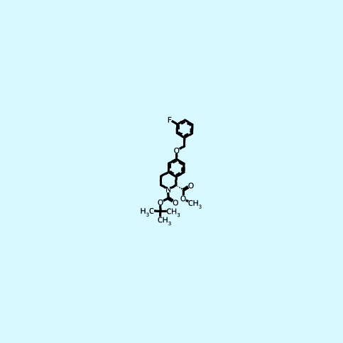 COC(=O)[C@H]1c2ccc(OCc3cccc(F)c3)cc2CCN1C(=O)OC(C)(C)C